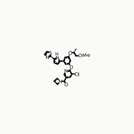 COC[C@H](C)Oc1cc(Oc2ncc(C(=O)N3CCC3)cc2Cl)cc(-c2ccc(-c3nccs3)[nH]2)c1